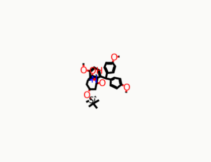 COc1ccc(C(OC23CC(O[Si](C)(C)C(C)(C)C)CC(C(O)C2)N3C)(c2ccc(OC)cc2)c2ccc(OC)cc2)cc1